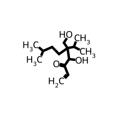 C=CC(=O)C(O)C(CO)(CCC(C)C)C(C)C